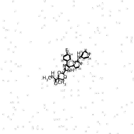 CNC(=O)C1(C)COC(c2nc(-c3ccc(F)cc3)c(-c3ccnc(Nc4ccncc4)n3)[nH]2)OC1